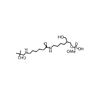 COP(=O)(O)OCC(CO)CCCCNC(=O)CCCCCNCC(C)(C)C=O